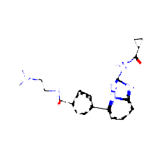 CN(C)CCNC(=O)c1ccc(-c2cccc3nc(NC(=O)C4CC4)nn23)cc1